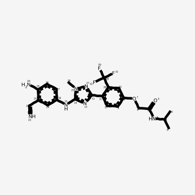 CC(C)NC(=O)COc1ccc(-c2nc(Nc3ccc(N)c(C=N)c3)n(C)n2)c(C(F)(F)F)c1